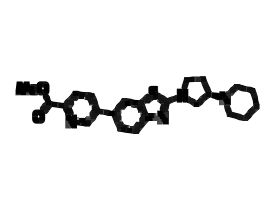 COC(=O)c1ccc(-c2ccc3nc(N4CC[C@@H](N5CCCCC5)C4)sc3c2)cn1